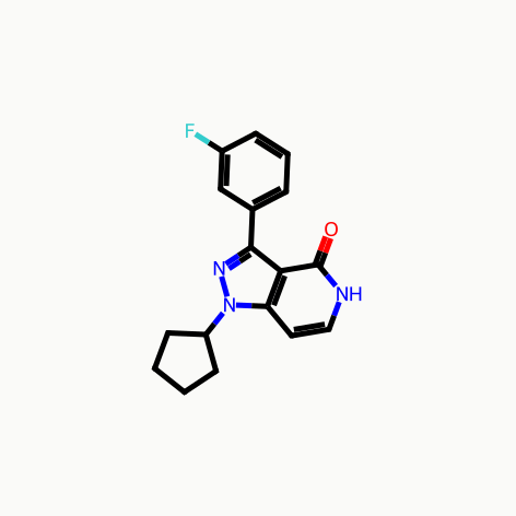 O=c1[nH]ccc2c1c(-c1cccc(F)c1)nn2C1CCCC1